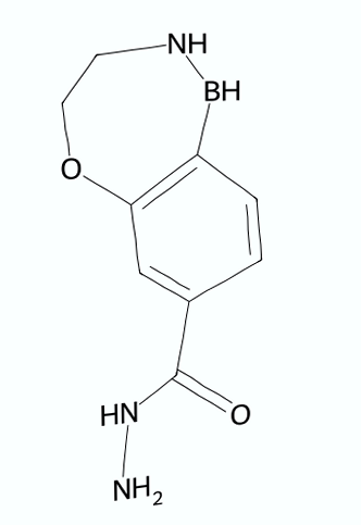 NNC(=O)c1ccc2c(c1)OCCNB2